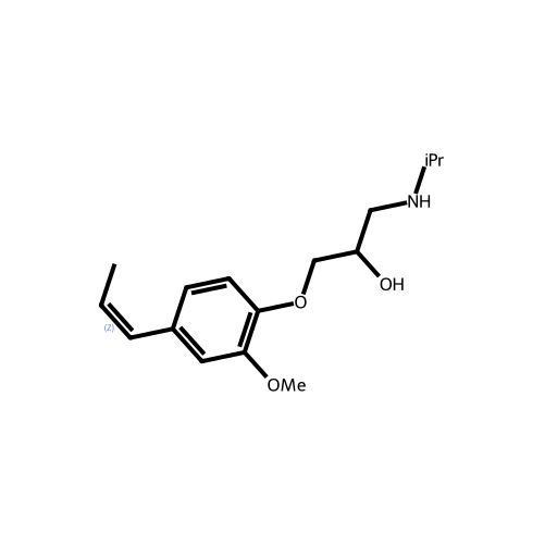 C/C=C\c1ccc(OCC(O)CNC(C)C)c(OC)c1